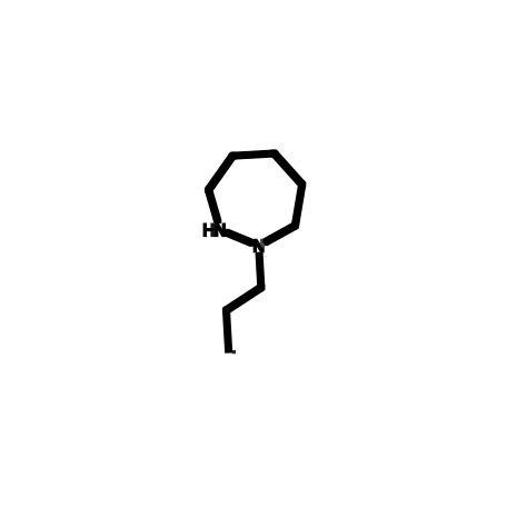 [CH2]CCN1CCCCCN1